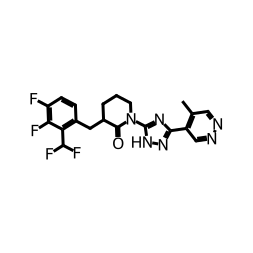 Cc1cnncc1-c1n[nH]c(N2CCCC(Cc3ccc(F)c(F)c3C(F)F)C2=O)n1